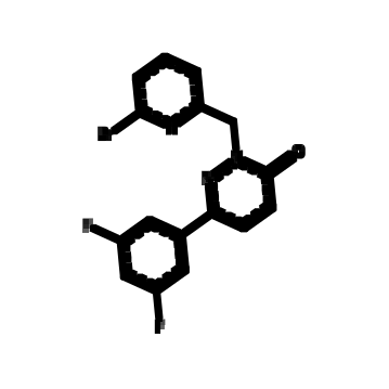 O=c1ccc(-c2cc(F)cc(F)c2)nn1Cc1cccc(Br)n1